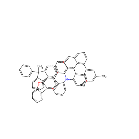 CC(C)(C)c1cc(-c2cccc3cccc(-c4ccccc4N(c4ccccc4-c4ccc5c(c4)oc4ccccc45)c4ccccc4-c4cccc5c4-c4ccccc4C5(C)c4ccccc4)c23)cc(C(C)(C)C)c1